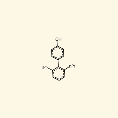 CCCc1cccc(C(C)C)c1-c1ccc(O)cc1